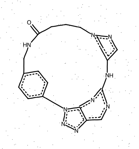 O=C1CCCn2cc(cn2)Nc2ncc3nnn(c3n2)-c2ccc(cc2)CN1